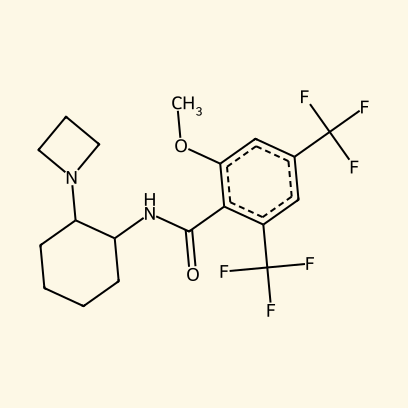 COc1cc(C(F)(F)F)cc(C(F)(F)F)c1C(=O)NC1CCCCC1N1CCC1